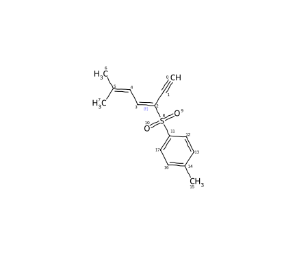 C#C/C(=C\C=C(C)C)S(=O)(=O)c1ccc(C)cc1